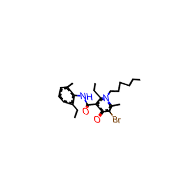 CCCCCCn1c(C)c(Br)c(=O)c(C(=O)Nc2c(C)cccc2CC)c1CC